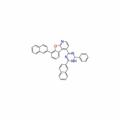 c1ccc(C2N=C(c3ccnc4oc5c(-c6ccc7ccccc7c6)cccc5c34)N=C(c3ccc4ccccc4c3)N2)cc1